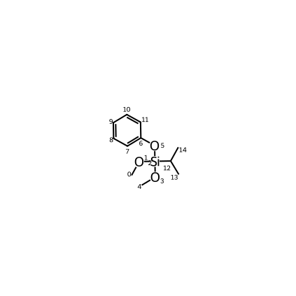 CO[Si](OC)(Oc1ccccc1)C(C)C